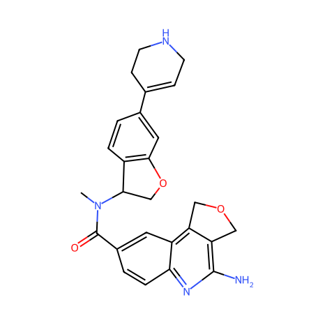 CN(C(=O)c1ccc2nc(N)c3c(c2c1)COC3)C1COc2cc(C3=CCNCC3)ccc21